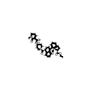 CCOC(=O)[C@@H]1CCCN1C(=O)[C@@]1(c2ccccc2)CC[C@H](C(=O)N2CCC(NC(=O)c3cccn(C)c3=O)CC2)c2ccccc21